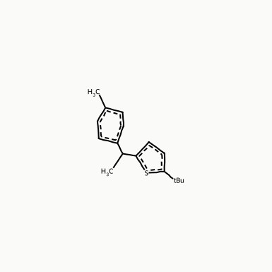 Cc1ccc(C(C)c2ccc(C(C)(C)C)s2)cc1